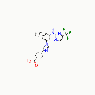 Cc1cc(Nc2nccc(C(F)(F)F)n2)cc(-n2cnc(C3CCC(C(=O)O)CC3)c2)c1